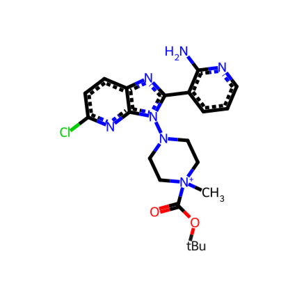 CC(C)(C)OC(=O)[N+]1(C)CCN(n2c(-c3cccnc3N)nc3ccc(Cl)nc32)CC1